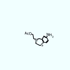 CC(=O)OCCN1CCSc2ccc(N)cc2C1